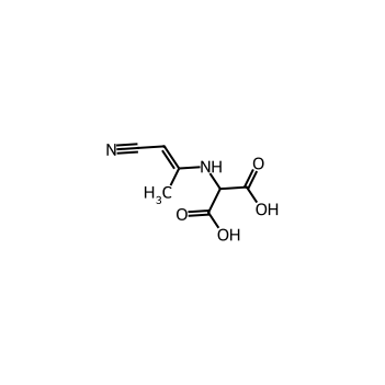 C/C(=C\C#N)NC(C(=O)O)C(=O)O